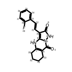 O=c1[nH]n2c(=O)c3c([nH]c2c1/C=C/c1ccccc1F)CCCC3